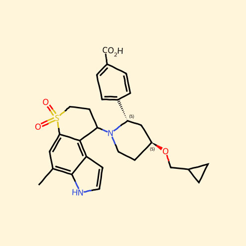 Cc1cc2c(c3cc[nH]c13)C(N1CC[C@H](OCC3CC3)C[C@H]1c1ccc(C(=O)O)cc1)CCS2(=O)=O